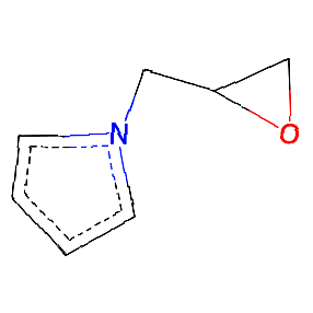 c1ccn(CC2CO2)c1